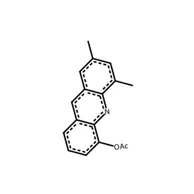 CC(=O)Oc1cccc2cc3cc(C)cc(C)c3nc12